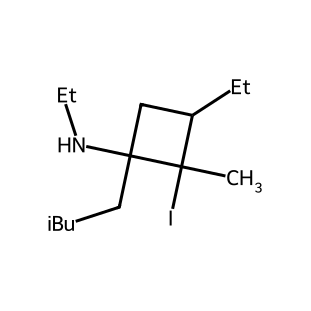 CCNC1(CC(C)CC)CC(CC)C1(C)I